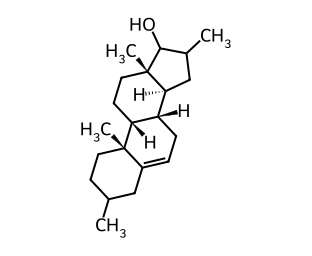 CC1CC[C@@]2(C)C(=CC[C@@H]3[C@H]2CC[C@]2(C)C(O)C(C)C[C@@H]32)C1